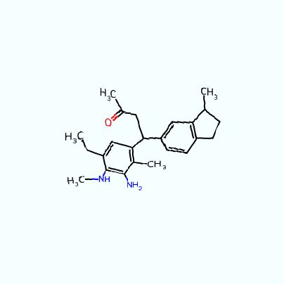 CCc1cc(C(CC(C)=O)c2ccc3c(c2)C(C)CC3)c(C)c(N)c1NC